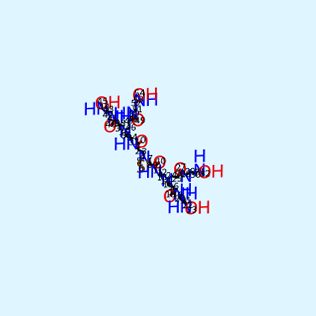 O=C(CCN(CS)CCC(=O)NCCN(CCC(=O)NCCNO)CCC(=O)NCCNO)NCCN(CCC(=O)NCCNO)CCC(=O)NCCNO